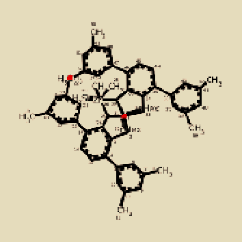 CCCCCCC1=Cc2c(-c3cc(C)cc(C)c3)ccc(-c3cc(C)cc(C)c3)c2[CH]1[Zr]([CH3])([CH3])(=[SiH2])[CH]1C(CCCCCC)=Cc2c(-c3cc(C)cc(C)c3)ccc(-c3cc(C)cc(C)c3)c21